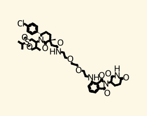 CC(C)C(CS(=O)(=O)C(C)C)N1C(=O)[C@@](C)(CC(=O)NCCOCCOCCNc2cccc3c2C(=O)N(C2CCC(=O)NC2=O)C3=O)CC[C@H]1c1ccc(Cl)cc1